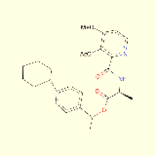 COc1ccnc(C(=O)N[C@@H](C)C(=O)OC(C)c2ccc(C3CCCCC3)cc2)c1OC(C)=O